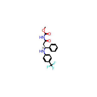 COC(=O)NC(=O)C[C@H](Nc1ccc(C(F)(F)F)cc1)c1ccccc1